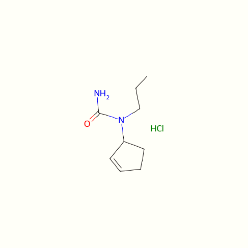 CCCN(C(N)=O)C1C=CCC1.Cl